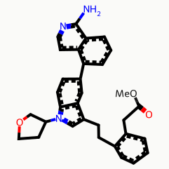 COC(=O)Cc1ccccc1CCc1cn(C2CCOC2)c2ccc(-c3cccc4c(N)nccc34)cc12